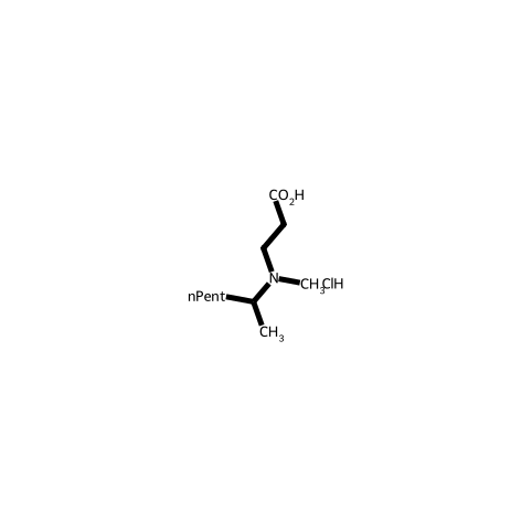 CCCCCC(C)N(C)CCC(=O)O.Cl